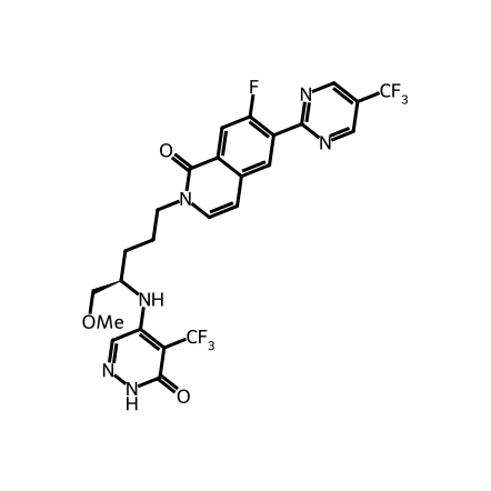 COC[C@@H](CCCn1ccc2cc(-c3ncc(C(F)(F)F)cn3)c(F)cc2c1=O)Nc1cn[nH]c(=O)c1C(F)(F)F